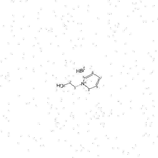 Br.OCCN1C=CC=CC1